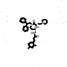 Cc1ccc(C=CC(=O)NC[C@@H]2CCN(CC(c3ccccc3)c3ccccc3)C(=O)[C@H](CCN3CCCCC3)N2)c(C)c1